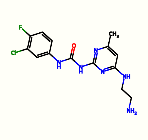 Cc1cc(NCCN)nc(NC(=O)Nc2ccc(F)c(Cl)c2)n1